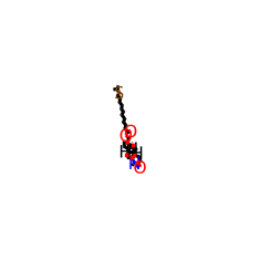 CC(C)SCCCCCCCCCCCC(=O)OCC1CC[C@H]2[C@@H]3CCC4N(C)C(=O)CC[C@]4(C)[C@@H]3CC[C@]12C